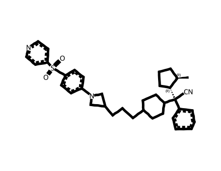 C[C@@H]1CCC[C@H]1C(C#N)(c1ccccc1)C1CCC(CCCC2CN(c3ccc(S(=O)(=O)c4ccncc4)cc3)C2)CC1